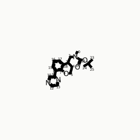 CN(CC1CCOc2c(-c3cnccn3)cccc21)C(=O)OC(C)(C)C